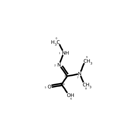 CNN=C(C(=O)O)N(C)C